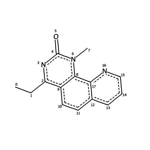 CCc1nc(=O)n(C)c2c1ccc1cccnc12